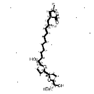 CCCCCCCCCC[C@@H](O)[C@H]1CC[C@H]([C@H]2CC[C@H]([C@H](O)CCCCCCCC[C@H]([18F])CC3=C[C@@H](C)OC3=O)O2)O1